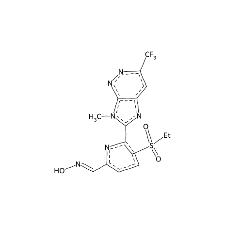 CCS(=O)(=O)c1ccc(C=NO)nc1-c1nc2cc(C(F)(F)F)nnc2n1C